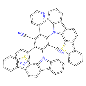 N#Cc1c(-c2cccnc2)c(-n2c3ccccc3c3ccc4c5ccccc5sc4c32)c(C#N)c(-n2c3ccccc3c3ccc4c5ccccc5sc4c32)c1-c1cccnc1